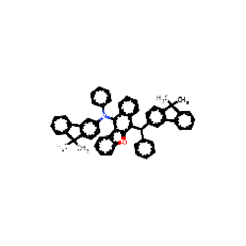 CC1(C)c2ccccc2-c2cc(C(c3ccccc3)c3c4ccccc4c(N(c4ccccc4)c4ccc5c(c4)-c4ccccc4C5(C)C)c4c3oc3ccccc34)ccc21